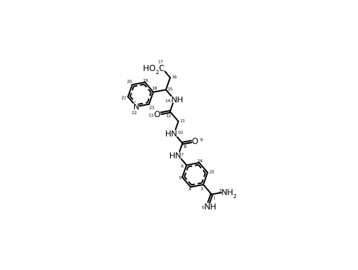 N=C(N)c1ccc(NC(=O)NCC(=O)NC(CC(=O)O)c2cccnc2)cc1